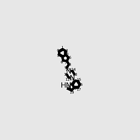 c1ccc2c(c1)CC(CCN1CCN(c3cccc4cc[nH]c34)CC1)C2